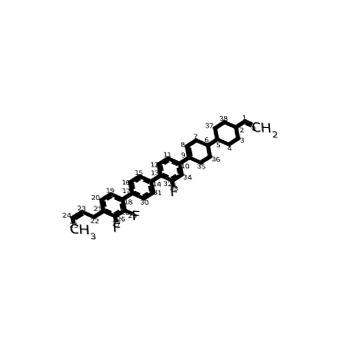 C=CC1CCC(C2CC=C(c3ccc(-c4ccc(-c5ccc(C/C=C\C)c(F)c5F)cc4)c(F)c3)CC2)CC1